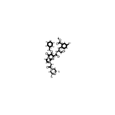 COC(=O)c1cc(F)ccc1CC(C=O)SC(=O)c1nc2n(CC(=O)N3C[C@H](C)O[C@@H](C)C3)ccn2c(=O)c1OCc1ccccc1